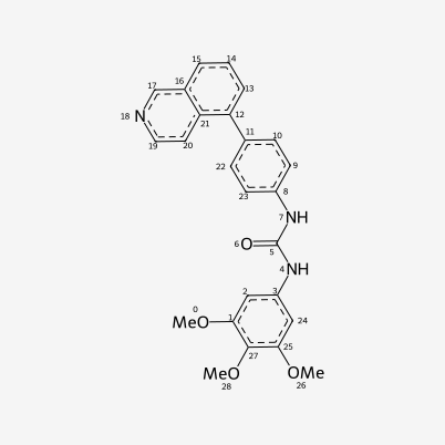 COc1cc(NC(=O)Nc2ccc(-c3cccc4cnccc34)cc2)cc(OC)c1OC